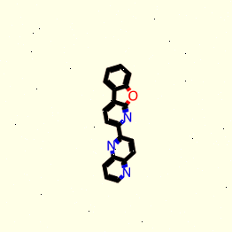 c1cnc2ccc(-c3ccc4c(n3)oc3ccccc34)nc2c1